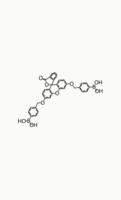 O=C1OC2(c3ccc(OCc4ccc(B(O)O)cc4)cc3Oc3cc(OCc4ccc(B(O)O)cc4)ccc32)c2ccccc21